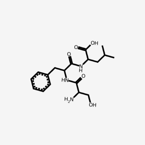 CC(C)CC(NC(=O)C(Cc1ccccc1)NC(=O)C(N)CO)C(=O)O